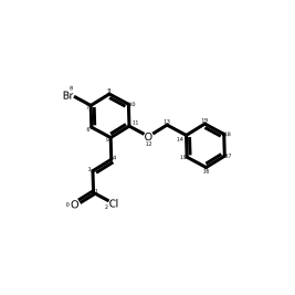 O=C(Cl)C=Cc1cc(Br)ccc1OCc1ccccc1